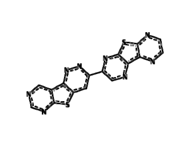 c1ncc2c(n1)sc1cc(-c3cnc4c(n3)sc3nccnc34)nnc12